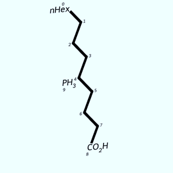 CCCCCCCCCCCCCC(=O)O.P